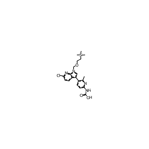 Cc1nc(NC(=O)O)ccc1-c1cn(COCC[Si](C)(C)C)c2nc(Cl)ccc12